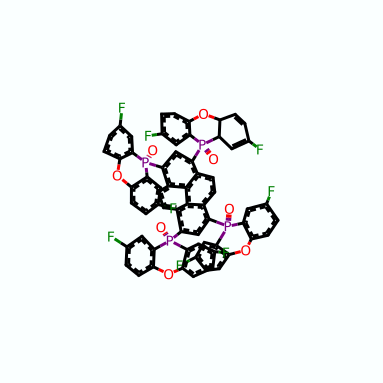 O=P1(c2cc(P3(=O)c4cc(F)ccc4Oc4ccc(F)cc43)c3ccc4c(P5(=O)c6cc(F)ccc6OC6C=CC(F)=CC65)cc(P5(=O)c6cc(F)ccc6Oc6ccc(F)cc65)c5ccc2c3c54)c2cc(F)ccc2Oc2ccc(F)cc21